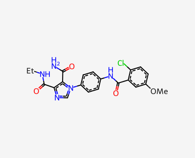 CCNC(=O)c1ncn(-c2ccc(NC(=O)c3cc(OC)ccc3Cl)cc2)c1C(N)=O